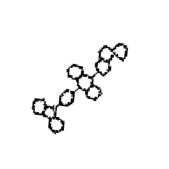 c1ccc2c(c1)ccc1cc(-c3c4ccccc4c(-c4ccc(-n5c6ccccc6c6ccccc65)cc4)c4ccccc34)ccc12